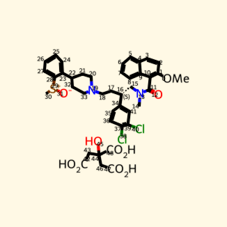 COc1ccc2ccccc2c1C(=O)N(C)C[C@@H](CCN1CCC(c2ccccc2[S+](C)[O-])CC1)c1ccc(Cl)c(Cl)c1.O=C(O)CC(O)(CC(=O)O)C(=O)O